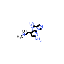 CN(C)CCc1cc(N)nc2c1nc(N)c1cncn12